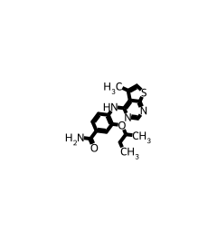 CCC(C)Oc1cc(C(N)=O)ccc1Nc1ncnc2scc(C)c12